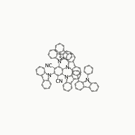 N#Cc1c(-n2c3ccccc3c3ccccc32)c(C#N)c(-n2c3ccccc3c3ccccc32)c(-n2c3cc(-c4cccc5c6ccccc6n(-c6ccccc6)c45)ccc3c3ccc4c5ccccc5sc4c32)c1-n1c2ccccc2c2ccccc21